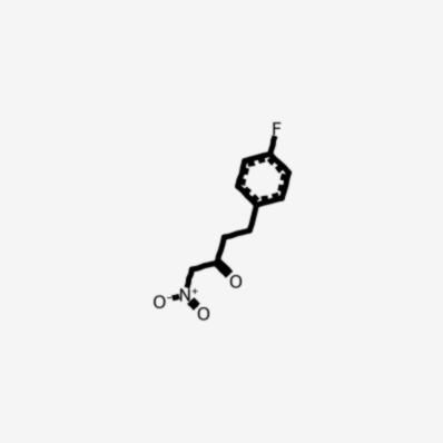 O=C(CCc1ccc(F)cc1)C[N+](=O)[O-]